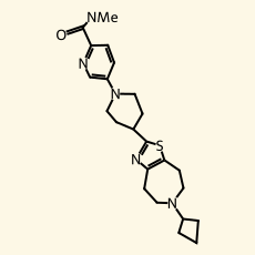 CNC(=O)c1ccc(N2CCC(c3nc4c(s3)CCN(C3CCC3)CC4)CC2)cn1